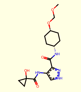 COCO[C@H]1CC[C@H](NC(=O)c2n[nH]cc2NC(=O)C2(O)CC2)CC1